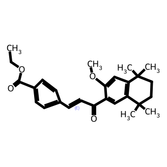 CCOC(=O)c1ccc(/C=C/C(=O)c2cc3c(cc2OC)C(C)(C)CCC3(C)C)cc1